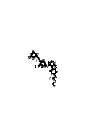 CCOC(=O)CC1CCc2c(sc3ncnc(Nc4ccc(OCc5cccc(F)c5)c(Cl)c4)c23)C1